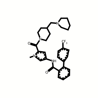 Cn1cc(NC(=O)c2ccccc2-c2ccc(C(F)(F)F)cc2)cc1C(=O)N1CCC(CN2CCCCC2)CC1